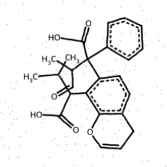 CC(C)C(C(=O)O)c1c(C(C(=O)O)(c2ccccc2)C(C)C=O)ccc2c1OC=CC2